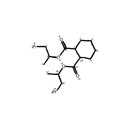 CC(C)CC(C)OC(=O)C1CCCCC1C(=O)OC(C)CC(C)C